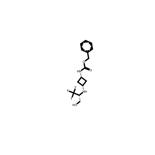 O=C(N[C@H]1C[C@@H](N[C@H](CO)C(F)(F)F)C1)OCc1ccccc1